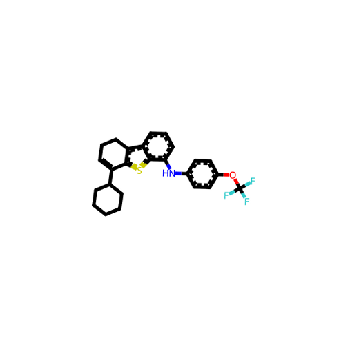 FC(F)(F)Oc1ccc(Nc2cccc3c4c(sc23)C(C2CCCCC2)=CCC4)cc1